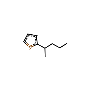 CCCC(C)c1[c]ccs1